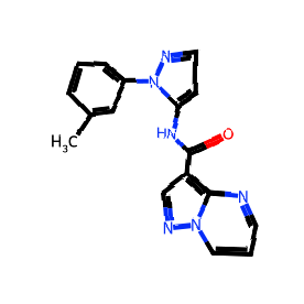 Cc1cccc(-n2nccc2NC(=O)c2cnn3cccnc23)c1